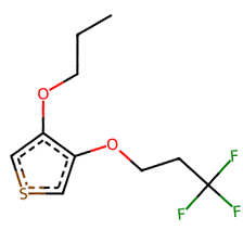 CCCOc1cscc1OCCC(F)(F)F